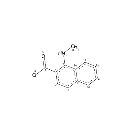 CNc1c(C(=O)Cl)ccc2ccccc12